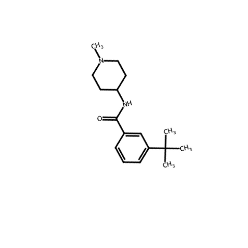 CN1CCC(NC(=O)c2cccc(C(C)(C)C)c2)CC1